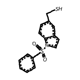 O=S(=O)(c1ccccc1)n1ccc2cc(CS)ccc21